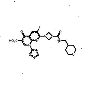 O=C(O)c1cn(-c2ncns2)c2nc(N3CC(C(=O)NCC4CCOCC4)C3)c(F)cc2c1=O